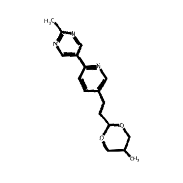 Cc1ncc(-c2ccc(CCC3OCC(C)CO3)cn2)cn1